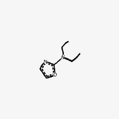 CCN(CC)c1ncco1